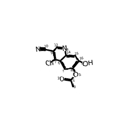 CC(=O)Oc1cc2c(Cl)c(C#N)cnc2cc1O